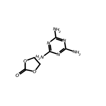 Nc1nc(N)nc(N)n1.O=C1OCCO1